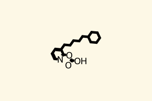 O=C(O)Oc1ncccc1CCCCCC1CCCCC1